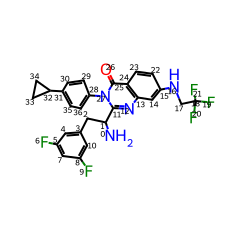 NC(Cc1cc(F)cc(F)c1)c1nc2cc(NCC(F)(F)F)ccc2c(=O)n1-c1ccc(C2CC2)cc1